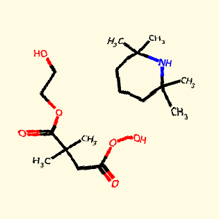 CC(C)(CC(=O)OO)C(=O)OCCO.CC1(C)CCCC(C)(C)N1